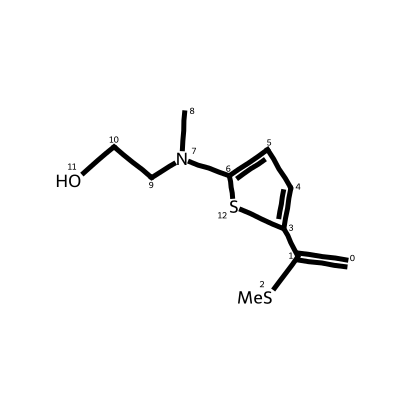 C=C(SC)c1ccc(N(C)CCO)s1